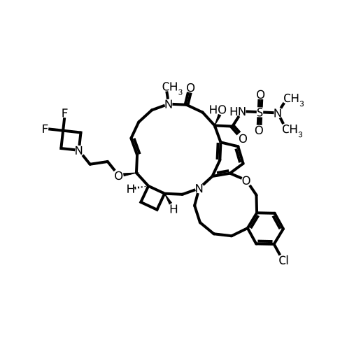 CN1CC/C=C/[C@H](OCCN2CC(F)(F)C2)[C@@H]2CC[C@H]2CN2CCCCc3cc(Cl)ccc3COc3ccc(cc32)[C@@](O)(C(=O)NS(=O)(=O)N(C)C)CC1=O